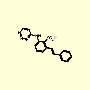 O=S(=O)(O)c1c(C=Cc2ccccc2)cccc1Nc1ccnnn1